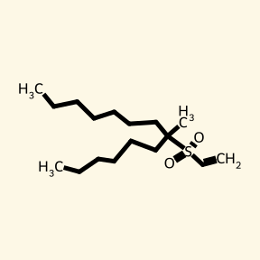 C=CS(=O)(=O)C(C)(CCCCCC)CCCCCCC